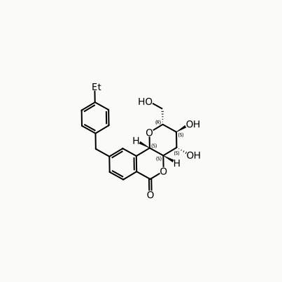 CCc1ccc(Cc2ccc3c(c2)[C@@H]2O[C@H](CO)[C@@H](O)[C@H](O)[C@@H]2OC3=O)cc1